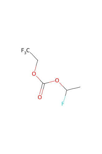 CC(F)OC(=O)OCC(F)(F)F